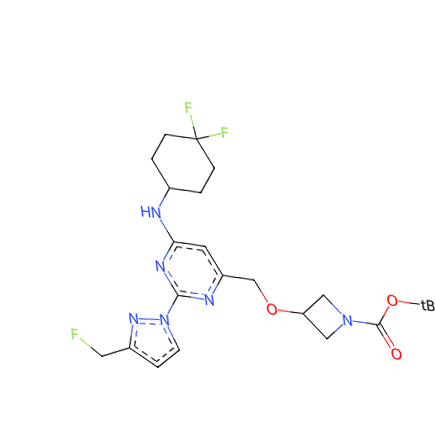 CC(C)(C)OC(=O)N1CC(OCc2cc(NC3CCC(F)(F)CC3)nc(-n3ccc(CF)n3)n2)C1